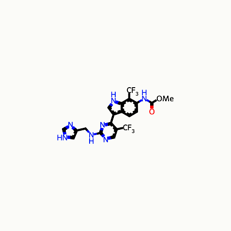 COC(=O)Nc1ccc2c(-c3nc(NCc4c[nH]cn4)ncc3C(F)(F)F)c[nH]c2c1C(F)(F)F